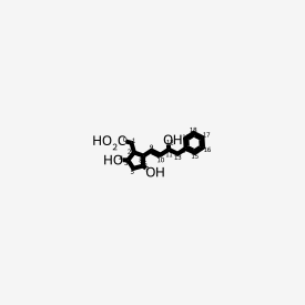 O=C(O)CC1C(O)CC(O)C1C=CC(O)Cc1ccccc1